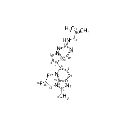 Cc1nc2ccc(-c3ccn4nc(NCC(C)C)ncc34)nc2n1CC(F)F